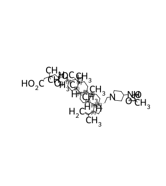 C=C(C)[C@@H]1CC[C@]2(CCN3CCC(NS(C)(=O)=O)CC3)CC[C@]3(C)[C@H](CC[C@@H]4[C@@]5(C)CC[C@H](OC(=O)CC(C)(C)CC(=O)O)C(C)(C)[C@@H]5CC[C@]43C)[C@@H]12